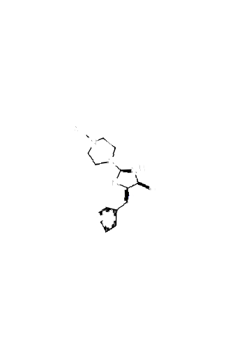 CC(=O)N1CCN(C2=NC(=O)/C(=C/c3ccsc3)N2)CC1.Cl